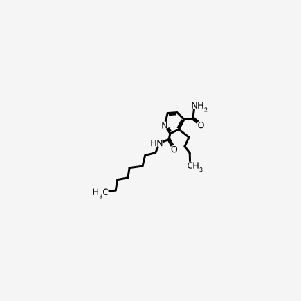 CCCCCCCCNC(=O)c1nccc(C(N)=O)c1CCCC